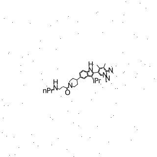 C=Nn1cc(-c2[nH]c3ccc(C4CCN(C(=O)CCNCCC)CC4)cc3c2C(C)C)c(C)c(C)/c1=N/C